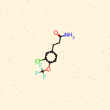 NC(=O)C[CH]c1ccc(OC(F)(F)F)c(Cl)c1